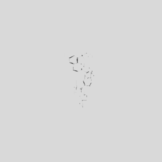 CC(C)(CO)c1cc(F)cc2ccc(-c3nnc4ccc([C@@H](N5CCC(N)C5)C(F)(F)F)cn34)nc12